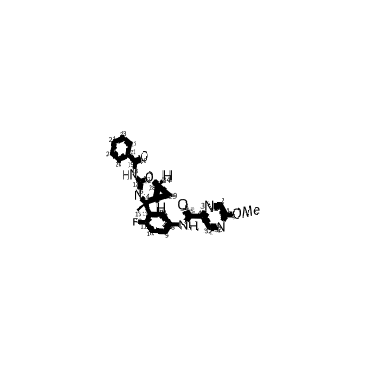 COc1cnc(C(=O)Nc2ccc(F)c([C@]3(C)N=C(NC(=O)c4ccccc4)O[C@@H]4C[C@@H]43)c2)cn1